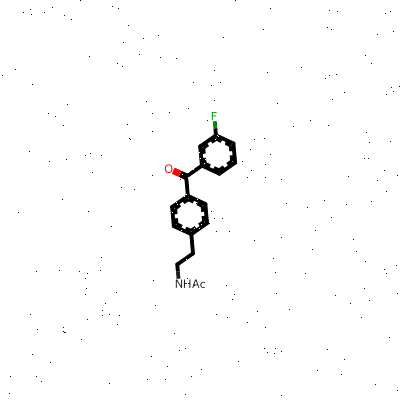 CC(=O)NCCc1ccc(C(=O)c2cccc(F)c2)cc1